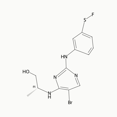 C[C@H](CO)Nc1nc(Nc2cccc(SF)c2)ncc1Br